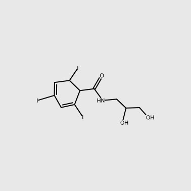 O=C(NCC(O)CO)[C]1C(I)=CC(I)=CC1I